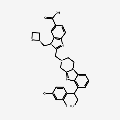 CCC(c1ccc(Cl)cc1F)c1cccc2c1nc1n2CCN(Cc2nc3ccc(C(=O)O)cc3n2C[C@@H]2CCO2)C1